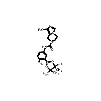 Cc1ccc(NC(=O)N2CCn3cnc(C(F)(F)F)c3C2)cc1B1OC(C)(C)C(C)(C)O1